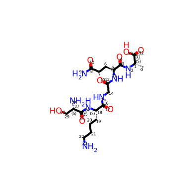 C[C@H](NC(=O)[C@H](CCC(N)=O)NC(=O)CNC(=O)[C@H](CCCCN)NC(=O)[C@@H](N)CO)C(=O)O